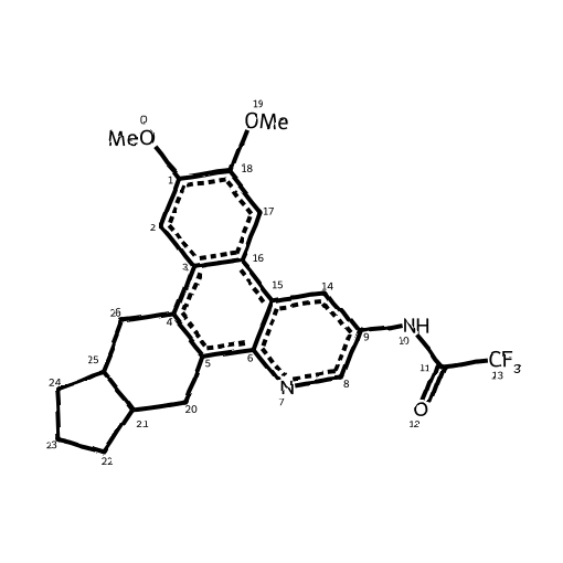 COc1cc2c3c(c4ncc(NC(=O)C(F)(F)F)cc4c2cc1OC)CC1CCCC1C3